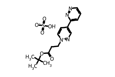 CC(C)(C)OC(=O)CC[n+]1ccc(-c2cccnn2)cn1.O=S(=O)([O-])O